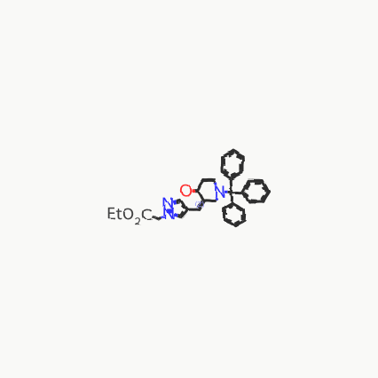 CCOC(=O)Cn1cc(/C=C2/CN(C(c3ccccc3)(c3ccccc3)c3ccccc3)CCC2=O)cn1